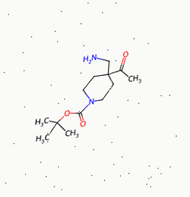 CC(=O)C1(CN)CCN(C(=O)OC(C)(C)C)CC1